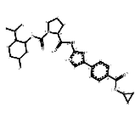 CC1CCC(C(C)C)C(OC(=O)N2CCCC2C(=O)Nc2nc(-c3ccc(C(=O)NC4CC4)cc3)cs2)C1